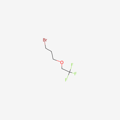 FC(F)(F)COCCCBr